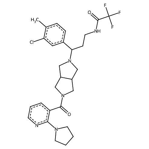 Cc1ccc(C(CCNC(=O)C(F)(F)F)N2CC3CN(C(=O)c4cccnc4N4CCCC4)CC3C2)cc1Cl